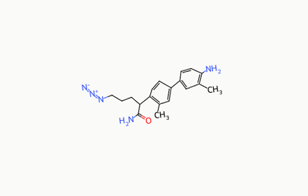 Cc1cc(-c2ccc(C(CCCN=[N+]=[N-])C(N)=O)c(C)c2)ccc1N